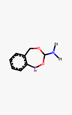 CCN(CC)C1OCc2ccccc2PO1